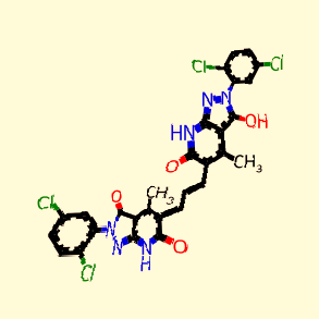 Cc1c2c([nH]c(=O)/c1=C/C=Cc1c(C)c3c(O)n(-c4cc(Cl)ccc4Cl)nc3[nH]c1=O)=NN(c1cc(Cl)ccc1Cl)C2=O